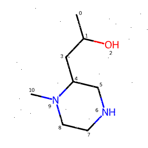 CC(O)[CH]C1CNCCN1C